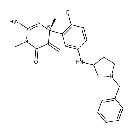 C=C1C(=O)N(C)C(N)=N[C@]1(C)c1cc(NC2CCN(Cc3ccccc3)C2)ccc1F